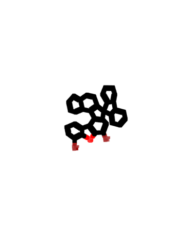 Brc1cccc2c1oc1c(Br)cc3c(c12)-c1c(ccc2ccccc12)C31c2ccccc2-c2ccccc21